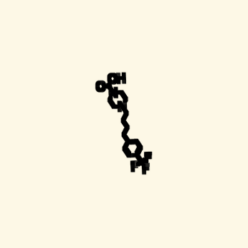 O=C(O)N1CCN(CCCCc2ccc(C(F)(F)F)cc2)CC1